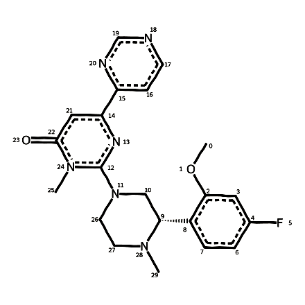 COc1cc(F)ccc1[C@H]1CN(c2nc(-c3ccncn3)cc(=O)n2C)CCN1C